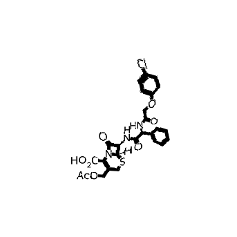 CC(=O)OCC1=C(C(=O)O)N2C(=O)[C@@H](NC(=O)[C@@H](NC(=O)COc3ccc(Cl)cc3)c3ccccc3)[C@H]2SC1